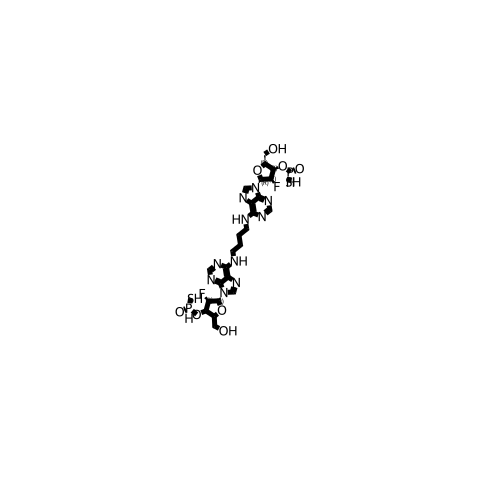 O=[PH](S)OC1C(CO)O[C@@H](n2cnc3c(NCCCCNc4ncnc5c4ncn5[C@@H]4O[C@H](CO)[C@@H](O[PH](=O)S)[C@H]4F)ncnc32)[C@@H]1F